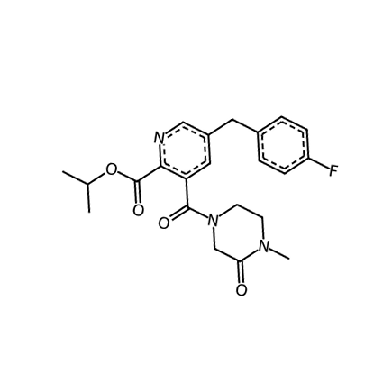 CC(C)OC(=O)c1ncc(Cc2ccc(F)cc2)cc1C(=O)N1CCN(C)C(=O)C1